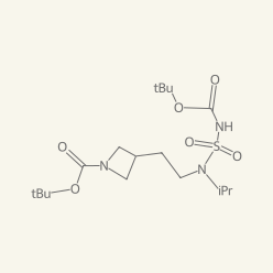 CC(C)N(CCC1CN(C(=O)OC(C)(C)C)C1)S(=O)(=O)NC(=O)OC(C)(C)C